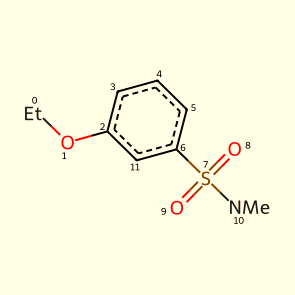 CCOc1cccc(S(=O)(=O)NC)c1